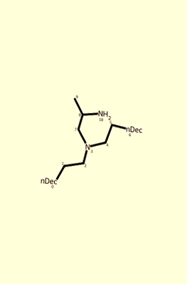 CCCCCCCCCCCCN(CCCCCCCCCCCC)CC(C)N